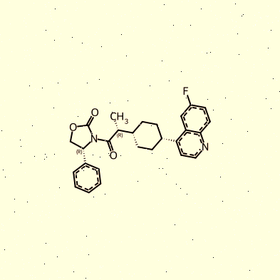 C[C@@H](C(=O)N1C(=O)OC[C@H]1c1ccccc1)[C@H]1CC[C@@H](c2ccnc3ccc(F)cc32)CC1